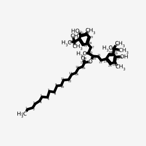 CCCCCCCCCCCCCCCCCC(=O)OC(CCc1cc(C)c(O)c(C(C)(C)C)c1)C(C)Cc1cc(C)c(O)c(C(C)(C)C)c1